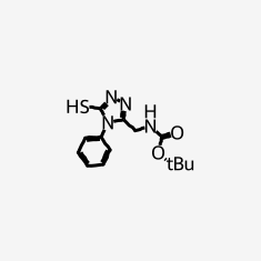 CC(C)(C)OC(=O)NCc1nnc(S)n1-c1ccccc1